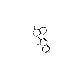 Cc1c2ccncc2cc2c3cccc4c3n(c12)CCN4C